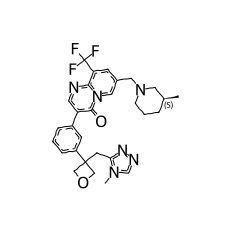 C[C@H]1CCCN(Cc2cc(C(F)(F)F)c3ncc(-c4cccc(C5(Cc6nncn6C)COC5)c4)c(=O)n3c2)C1